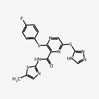 Cc1cnc(NC(=O)c2nc(Sc3nnc[nH]3)cnc2Sc2ccc(F)cc2)s1